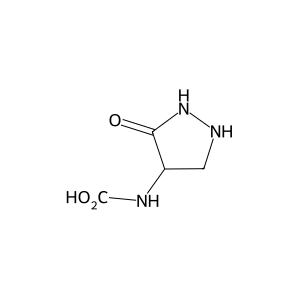 O=C(O)NC1CNNC1=O